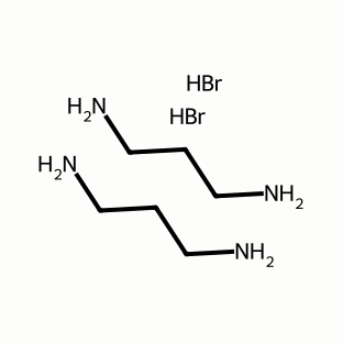 Br.Br.NCCCN.NCCCN